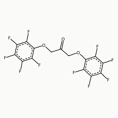 O=C(COc1c(F)c(F)c(F)c(F)c1F)COc1c(F)c(F)c(F)c(F)c1F